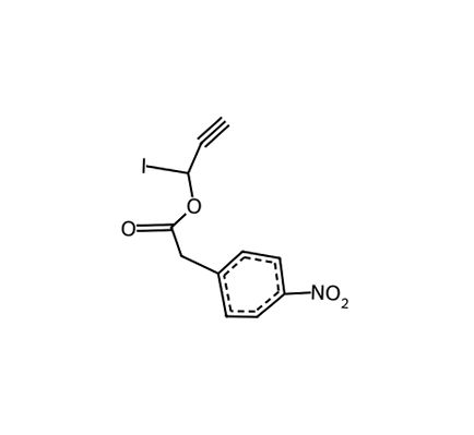 C#CC(I)OC(=O)Cc1ccc([N+](=O)[O-])cc1